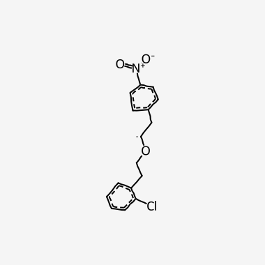 O=[N+]([O-])c1ccc(C[CH]OCCc2ccccc2Cl)cc1